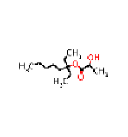 CCCCCC(CC)(CC)OC(=O)C(C)O